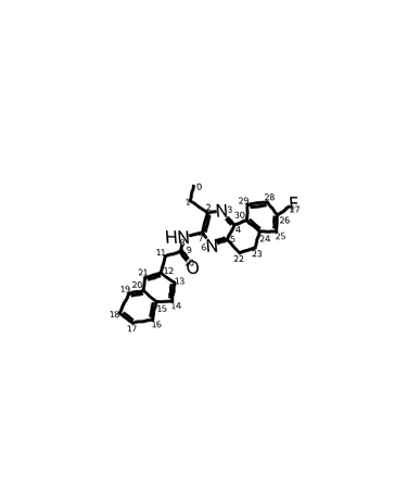 CCc1nc2c(nc1NC(=O)Cc1ccc3ccccc3c1)CCc1cc(F)ccc1-2